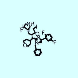 O=C(CI)C(C[C@@H]1CNC[C@@H]1F)[C@@H](c1nc(-c2cc(F)ccc2F)cn1Cc1ccccc1)C1CCOCC1